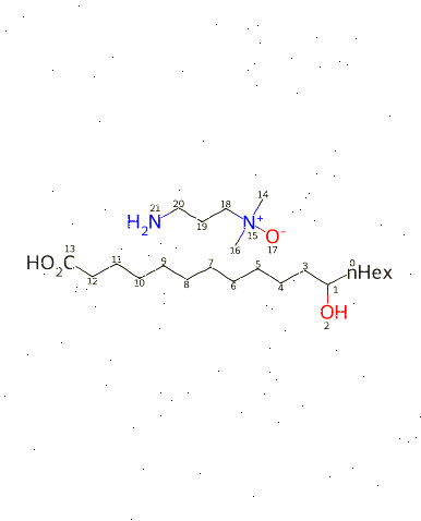 CCCCCCC(O)CCCCCCCCCCC(=O)O.C[N+](C)([O-])CCCN